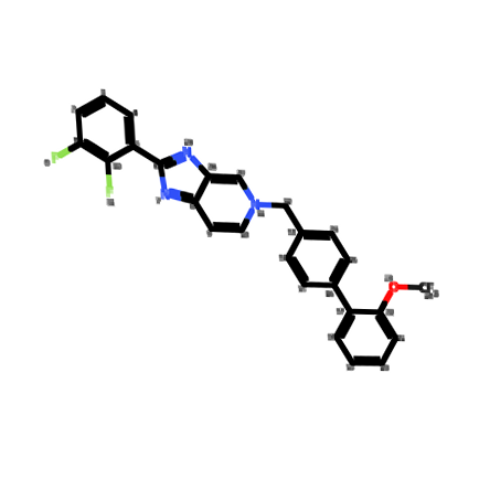 Fc1cccc(-c2nc3ccn(Cc4ccc(-c5ccccc5OC(F)(F)F)cc4)cc-3n2)c1F